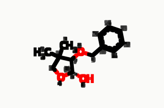 CC1(C)CO[C@@H](O)C1OCc1ccccc1